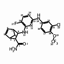 NC(=O)C1C2C=CC(C2)C1Nc1nc(Nc2ccc(OC(F)(F)F)c(Cl)c2)ncc1F